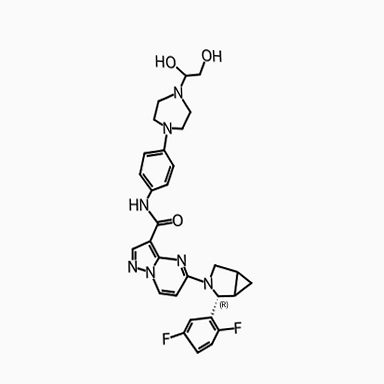 O=C(Nc1ccc(N2CCN(C(O)CO)CC2)cc1)c1cnn2ccc(N3CC4CC4[C@@H]3c3cc(F)ccc3F)nc12